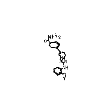 COc1ccccc1Nc1nc2ccc(-c3ccc(C(N)=O)cc3)cn2n1